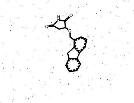 O=C1CC(OCc2cccc3c2Cc2ccccc2-3)C(=O)N1